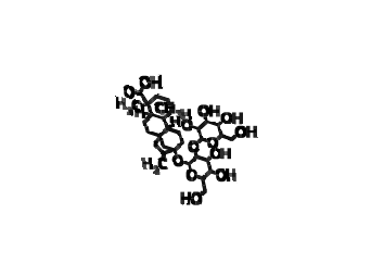 C=C1C[C@@]23CC[C@H]4[C@@](C)(CCC[C@@]4(C)C(=O)O)[C@@H]2CCC1(OC1OC(CO)C(O)C(O)C1OC1OC(CO)C(O)C(O)C1O)C3